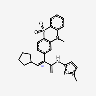 C=C(Nc1ccn(C)n1)/C(=C/C1CCCC1)c1ccc2c(c1)N(C)c1ccccc1S2(=O)=O